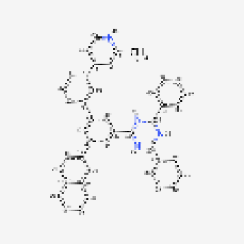 Cc1cc(-c2cccc(-c3cc(-c4ccc5ccccc5c4)cc(-c4nc(-c5ccccc5)nc(-c5ccccc5)n4)c3)c2)ccn1